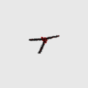 CCCCCC=CCC=CCCCCCCCC(=O)OC(COC(=O)CCCCCCCC=CCCCCCCCC)COC(=O)CCCCCCCC=CCCCCCCCC